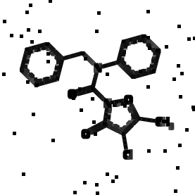 Cc1on(C(=O)N(Cc2ccccc2)c2ccccc2)c(=O)c1Cl